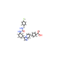 O=C(NCc1ccc(F)cc1)Nc1cccc(-c2cnc3cc(-c4ccc(C(=O)O)cc4)ccn23)c1